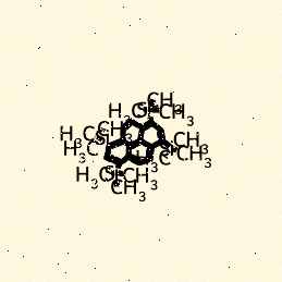 C[Si](C)(C)c1cc([Si](C)(C)C)c2ccc3c([Si](C)(C)C)cc([Si](C)(C)C)c4ccc1c2c43